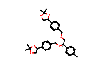 Cc1ccc([C@H](COCc2ccc(C3COC(C)(C)O3)cc2)OCc2ccc(C3COC(C)(C)O3)cc2)cc1